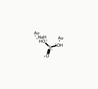 O=S(O)O.[Au].[Au].[NaH]